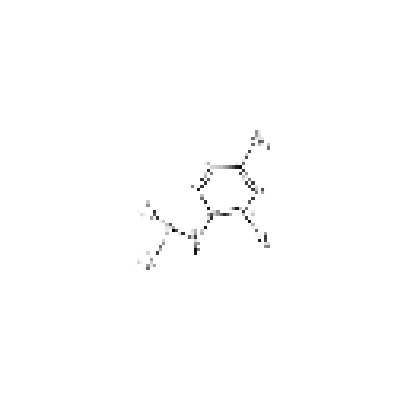 CB(O)Nc1ccc(C)cc1Cl